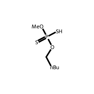 CCCCCOP(=S)(S)OC